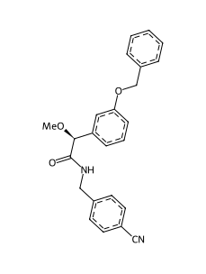 CO[C@H](C(=O)NCc1ccc(C#N)cc1)c1cccc(OCc2ccccc2)c1